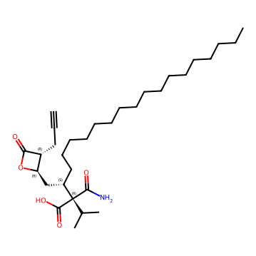 C#CC[C@H]1C(=O)O[C@@H]1C[C@H](CCCCCCCCCCCCCCCCC)[C@](C(N)=O)(C(=O)O)C(C)C